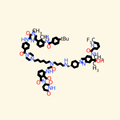 Cc1c(NC(=O)c2ccc(C(C)(C)C)cc2)cccc1-c1cn(C)c(=O)c(Nc2ccc(C(=O)N3CCN(CCCCCCN(CCCCNC[C@H]4CC[C@H](n5cc6cc(NC(=O)c7cccc(C(F)(F)F)n7)c(C(C)(C)O)cc6n5)CC4)C(=O)CNc4cccc5c4C(=O)N(C4CCC(=O)NC4=O)C5=O)CC3)cc2)n1